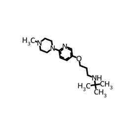 CN1CCN(c2ccc(OCCCNC(C)(C)C)cn2)CC1